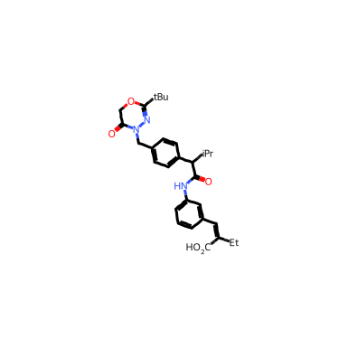 CCC(=Cc1cccc(NC(=O)C(c2ccc(CN3N=C(C(C)(C)C)OCC3=O)cc2)C(C)C)c1)C(=O)O